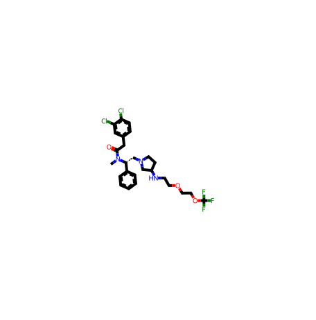 CN(C(=O)Cc1ccc(Cl)c(Cl)c1)[C@H](CN1CCC(NCCOCCOC(F)(F)F)C1)c1ccccc1